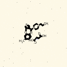 Cc1ccc2c(c1)Oc1cscc1C(N1CCN(CCO)CC1)=N2.O=C(O)/C=C/C(=O)O